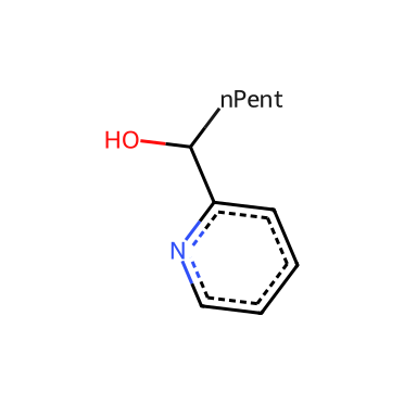 CCCCCC(O)c1ccccn1